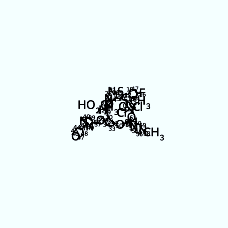 Cc1c(Cl)c2c(Cl)c(C)c1-c1c(-c3ccc(F)cc3)sc3ncnc(c13)O[C@@H](C(=O)O)Cc1cc(ccc1OCc1ccnc(C3CCOCC3)n1)OC[C@@H](CN1CCN(C)CC1)O2